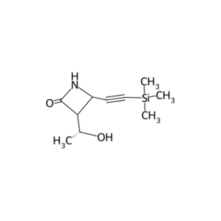 C[C@@H](O)C1C(=O)NC1C#C[Si](C)(C)C